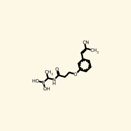 CC(C#N)=Cc1cccc(OCCC(=O)NC(C)B(O)O)c1